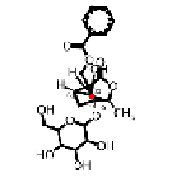 C[C@]12C[C@@H](O)[C@@H]3C[C@@]1(OC1OC(CO)C(O)C(O)C1O)C3(COC(=O)c1ccccc1)C(=O)O2